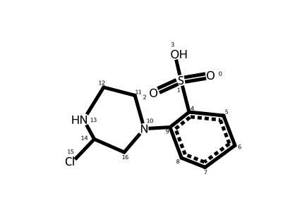 O=S(=O)(O)c1ccccc1N1CCNC(Cl)C1